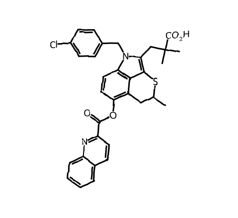 CC1Cc2c(OC(=O)c3ccc4ccccc4n3)ccc3c2c(c(CC(C)(C)C(=O)O)n3Cc2ccc(Cl)cc2)S1